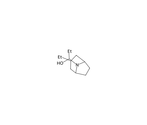 CCC1CC2CCC(C1)N2C(O)CC